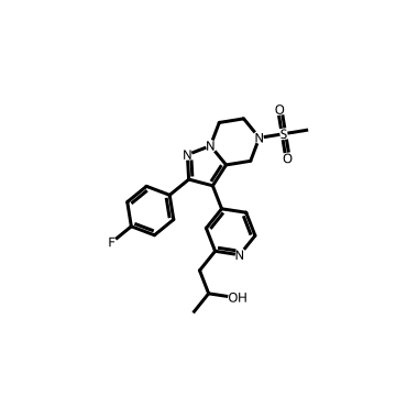 CC(O)Cc1cc(-c2c(-c3ccc(F)cc3)nn3c2CN(S(C)(=O)=O)CC3)ccn1